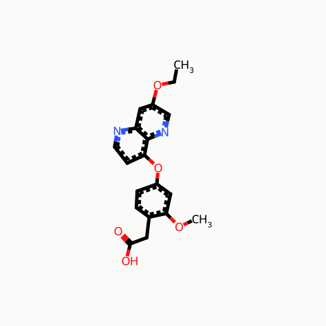 CCOc1cnc2c(Oc3ccc(CC(=O)O)c(OC)c3)ccnc2c1